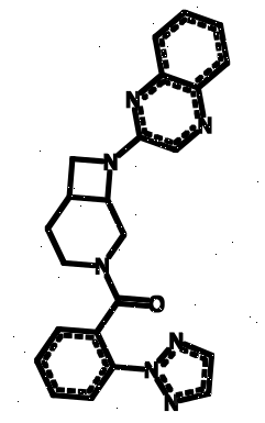 O=C(c1ccccc1-n1nccn1)N1CCC2CN(c3cnc4ccccc4n3)C2C1